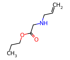 C=CCNCC(=O)OCCC